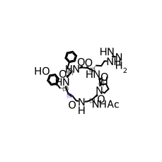 CC(=O)N[C@H]1CNC(=O)/C=C/[C@H](Cc2ccc(O)cc2)NC(=O)[C@@H](Cc2ccccc2)NC(=O)C(=O)[C@H](CCCNC(=N)N)NC(=O)[C@@H]2CCCN2C1=O